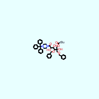 CC(C)(C)C(=O)OC[C@](O)(COCc1ccccc1)[C@@H](OCc1ccccc1)[C@H](O)[C@@H](O)C(=O)N1CCN(C(c2ccccc2)(c2ccccc2)c2ccccc2)CC1